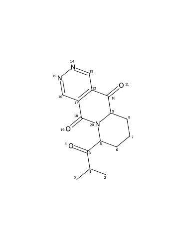 CC(C)C(=O)C1CCCC2C(=O)c3cnncc3C(=O)N21